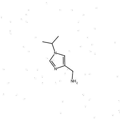 CC(C)n1cnc(CN)c1